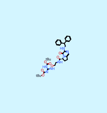 CC(C)(C)OC(=O)/N=C(/NOCCNC(=O)[C@@H]1CCc2cnc(NCC(c3ccccc3)c3ccccc3)c(=O)n21)NC(=O)OC(C)(C)C